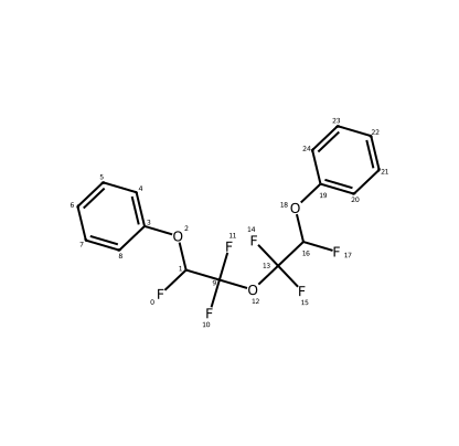 FC(Oc1ccccc1)C(F)(F)OC(F)(F)C(F)Oc1ccccc1